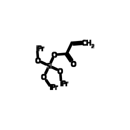 C=CC(=O)O[Si](OC(C)C)(OC(C)C)OC(C)C